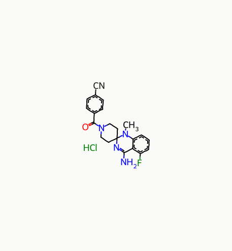 CN1c2cccc(F)c2C(N)=NC12CCN(C(=O)c1ccc(C#N)cc1)CC2.Cl